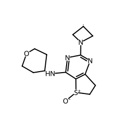 [O-][S+]1CCc2nc(N3C[CH]C3)nc(NC3CCOCC3)c21